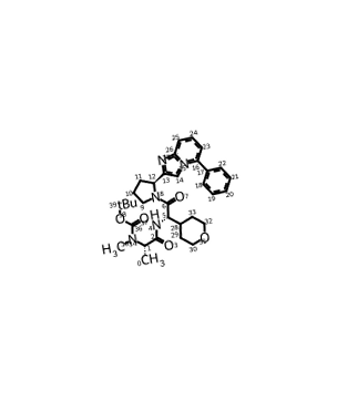 C[C@@H](C(=O)N[C@H](C(=O)N1CCC[C@H]1c1cn2c(-c3ccccc3)cccc2n1)C1CCOCC1)N(C)C(=O)OC(C)(C)C